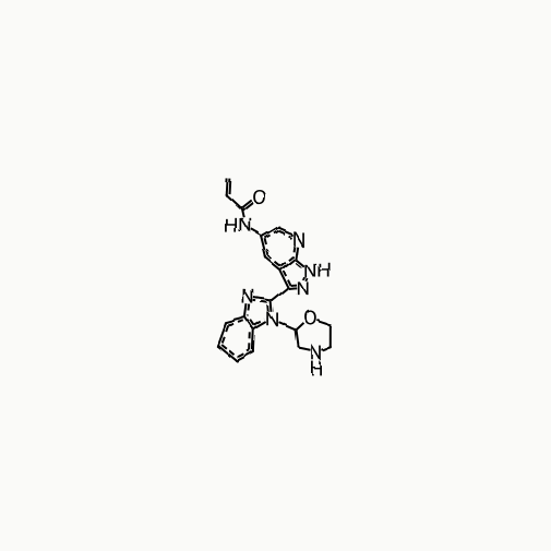 C=CC(=O)Nc1cnc2[nH]nc(-c3nc4ccccc4n3C3CNCCO3)c2c1